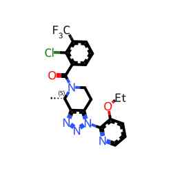 CCOc1cccnc1-n1nnc2c1CCN(C(=O)c1cccc(C(F)(F)F)c1Cl)[C@H]2C